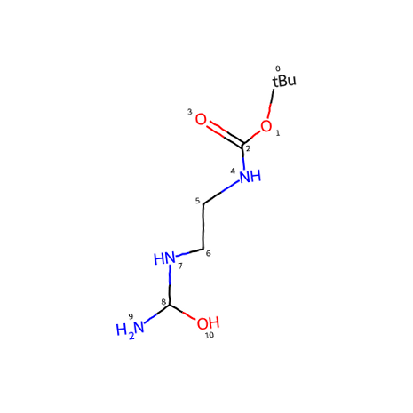 CC(C)(C)OC(=O)NCCNC(N)O